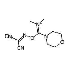 [C-]#[N+]/C(C#N)=N/OC(N1CCOCC1)=[N+](C)C